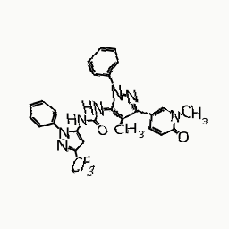 Cc1c(-c2ccc(=O)n(C)c2)nn(-c2ccccc2)c1NC(=O)Nc1cc(C(F)(F)F)nn1-c1ccccc1